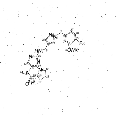 COc1cc(Cn2cc(CNc3ncc4c(n3)N3CCC[C@H]3C(=O)N4C)cn2)ccc1F